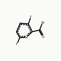 O=C(Br)c1nc(F)ccc1F